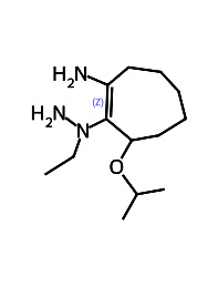 CCN(N)/C1=C(\N)CCCCCC1OC(C)C